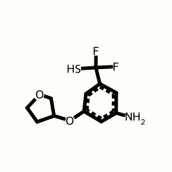 Nc1cc(OC2CCOC2)cc(C(F)(F)S)c1